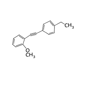 CCc1ccc(C#Cc2ccccc2OC)cc1